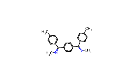 C/N=C(\c1ccc(C)cc1)c1ccc(/C(=N/C)c2ccc(C)cc2)cc1